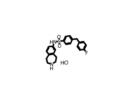 Cl.O=S(=O)(Nc1ccc2c(c1)CCNCC2)c1ccc(Cc2ccc(F)cc2)cc1